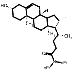 CCCN(CCC)C(=O)CC[C@@H](C)[C@H]1CCC2[C@@H]3CC=C4C[C@@H](O)CC[C@]4(C)C3CC[C@@]21C